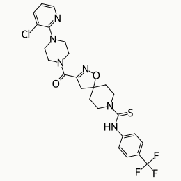 O=C(C1=NOC2(CCN(C(=S)Nc3ccc(C(F)(F)F)cc3)CC2)C1)N1CCN(c2ncccc2Cl)CC1